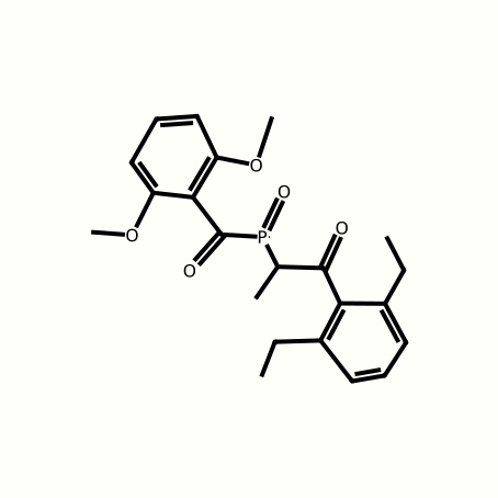 CCc1cccc(CC)c1C(=O)C(C)[P](=O)C(=O)c1c(OC)cccc1OC